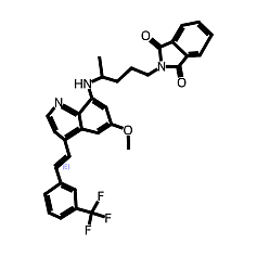 COc1cc(NC(C)CCCN2C(=O)c3ccccc3C2=O)c2nccc(/C=C/c3cccc(C(F)(F)F)c3)c2c1